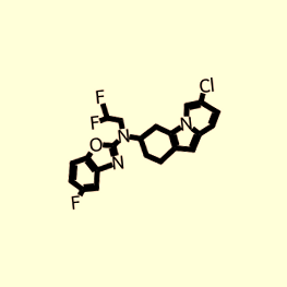 Fc1ccc2oc(N(CC(F)F)C3CCc4cc5ccc(Cl)cn5c4C3)nc2c1